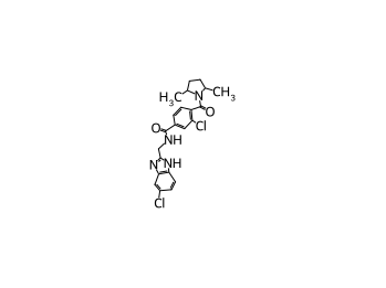 CC1CCC(C)N1C(=O)c1ccc(C(=O)NCc2nc3cc(Cl)ccc3[nH]2)cc1Cl